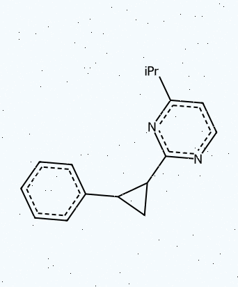 CC(C)c1ccnc(C2CC2c2ccccc2)n1